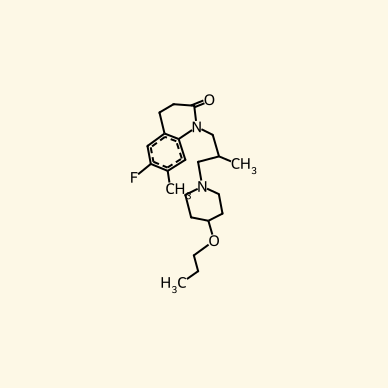 CCCOC1CCN(CC(C)CN2C(=O)CCc3cc(F)c(C)cc32)CC1